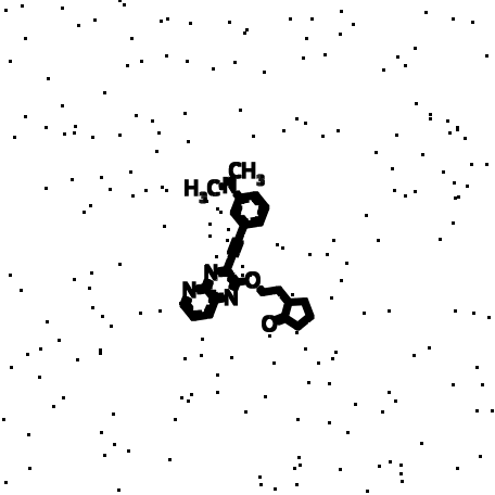 CN(C)c1cccc(C#Cc2nc3ncccc3nc2OCCC2CCCC2=O)c1